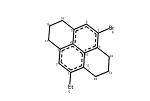 CCc1cc2c3c(cc(Br)c4c3c1CCC4)CCC2